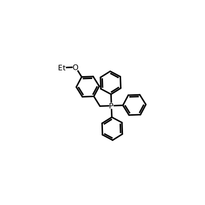 CCOc1ccc(C[P](c2ccccc2)(c2ccccc2)c2ccccc2)cc1